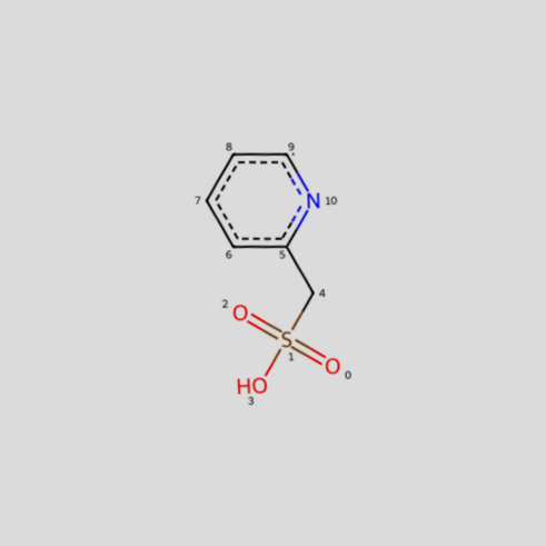 O=S(=O)(O)Cc1ccc[c]n1